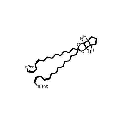 CCCCC/C=C\C/C=C\CCCCCCCCC1(CCCCCCCC/C=C\C/C=C\CCCCC)O[C@@H]2[C@@H]3CCC[C@@H]3[C@@H]2O1